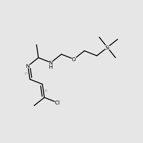 C/C(Cl)=C\C=N/C(C)NCOCC[Si](C)(C)C